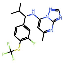 Cc1cc(N[C@@H](c2ccc(SC(F)(F)F)c(F)c2)C(C)C)n2ncnc2n1